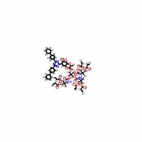 C=CC(=O)OCC(C)(COC(=O)C=C)NC(=O)OCC(COC(=O)NC(C)(COC(=O)C=C)COC(=O)C=C)(COC(=O)NC(C)(COC(=O)C=C)COC(=O)C=C)COC(=O)C(C)Oc1ccc(-c2nc(-c3ccc(-c4ccccc4)cc3)nc(-c3ccc(-c4ccccc4)cc3)n2)c(O)c1